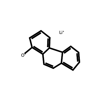 [Li+].[O-]c1cccc2c1ccc1ccccc12